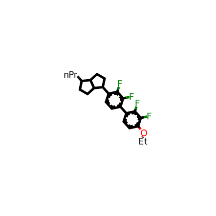 CCCC1CCC2C(c3ccc(-c4ccc(OCC)c(F)c4F)c(F)c3F)CCC12